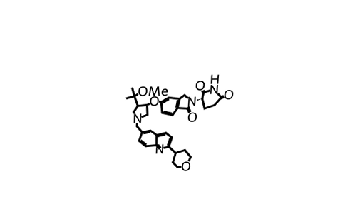 COC(C)(C)C1CN(Cc2ccc3nc(C4CCOCC4)ccc3c2)CC1Oc1ccc2c(c1)CN([C@H]1CCC(=O)NC1=O)C2=O